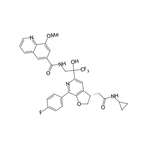 COc1cc(C(=O)NCC(O)(c2cc3c(c(-c4ccc(F)cc4)n2)OC[C@H]3CC(=O)NC2CC2)C(F)(F)F)cc2cccnc12